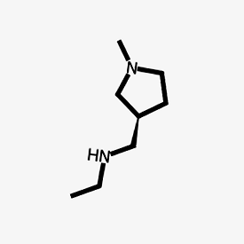 CCNC[C@@H]1CCN(C)C1